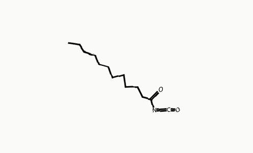 CCCCCCCCCCCC(=O)N=C=O